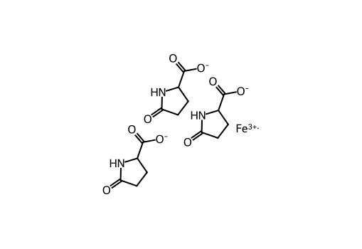 O=C1CCC(C(=O)[O-])N1.O=C1CCC(C(=O)[O-])N1.O=C1CCC(C(=O)[O-])N1.[Fe+3]